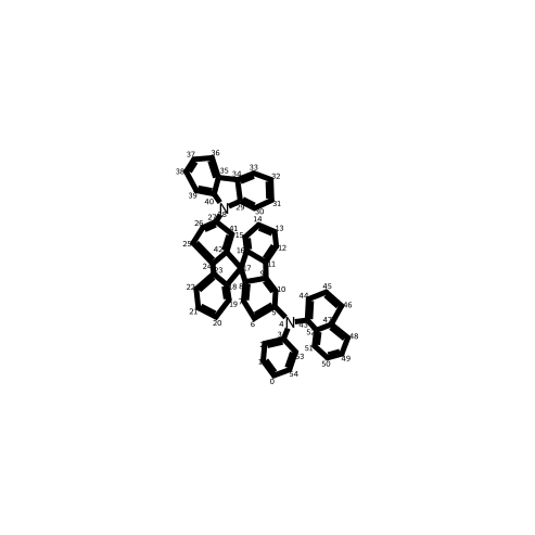 c1ccc(N(c2ccc3c(c2)-c2ccccc2C32c3ccccc3-c3ccc(-n4c5ccccc5c5ccccc54)cc32)c2cccc3ccccc23)cc1